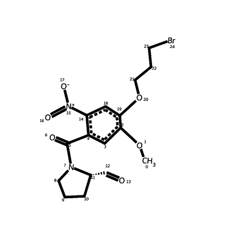 COc1cc(C(=O)N2CCC[C@H]2C=O)c([N+](=O)[O-])cc1OCCCBr